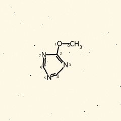 COc1n[c]ncn1